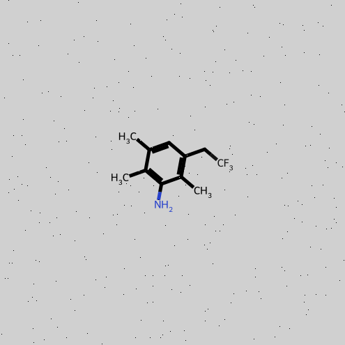 Cc1cc(CC(F)(F)F)c(C)c(N)c1C